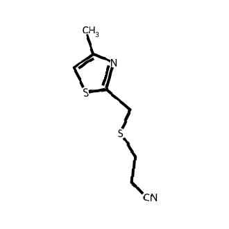 Cc1csc(CSCCC#N)n1